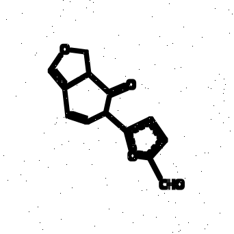 O=Cc1ccc(C2C=CC3=COCC3C2=O)o1